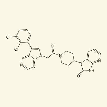 O=C(Cn1cc(-c2cccc(Cl)c2Cl)c2cncnc21)N1CCC(n2c(=O)[nH]c3ncccc32)CC1